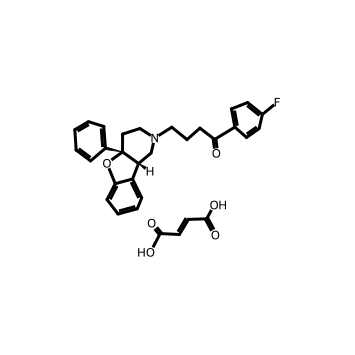 O=C(CCCN1CC[C@@]2(c3ccccc3)Oc3ccccc3[C@H]2C1)c1ccc(F)cc1.O=C(O)C=CC(=O)O